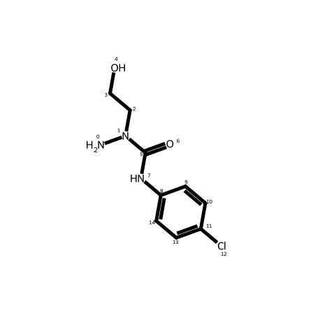 NN(CCO)C(=O)Nc1ccc(Cl)cc1